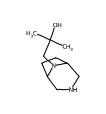 CC(C)(O)CN1C2CCC1CNC2